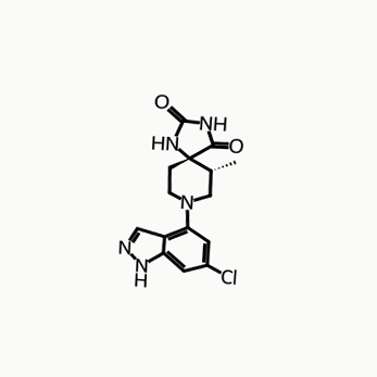 C[C@@H]1CN(c2cc(Cl)cc3[nH]ncc23)CC[C@]12NC(=O)NC2=O